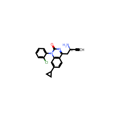 C#C[C@H](N)Cc1nc(=O)n(-c2ccccc2Cl)c2cc(C3CC3)ccc12